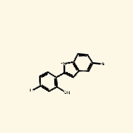 Oc1cc(Cl)ccc1-c1cc2cc(Br)ccc2[nH]1